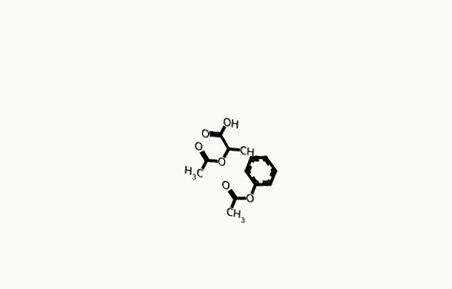 CC(=O)OC(C)C(=O)O.CC(=O)Oc1ccccc1